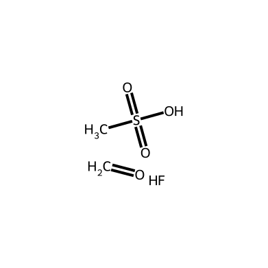 C=O.CS(=O)(=O)O.F